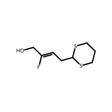 OC/C(F)=C/CC1SCCCS1